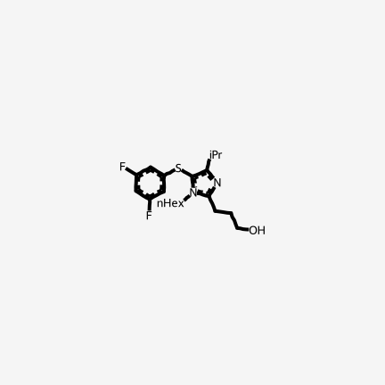 CCCCCCn1c(CCCO)nc(C(C)C)c1Sc1cc(F)cc(F)c1